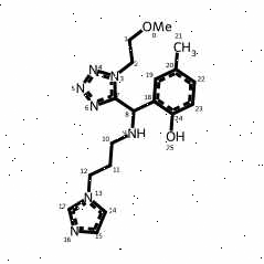 COCCn1nnnc1C(NCCCn1ccnc1)c1cc(C)ccc1O